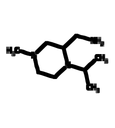 CC(C)N1CCN(C)CC1CN